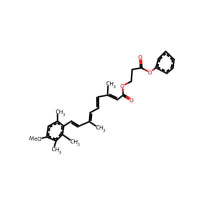 COc1cc(C)c(C=CC(C)=CC=CC(C)=CC(=O)OCCC(=O)Oc2ccccc2)c(C)c1C